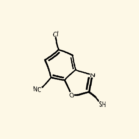 N#Cc1cc(Cl)cc2nc(S)oc12